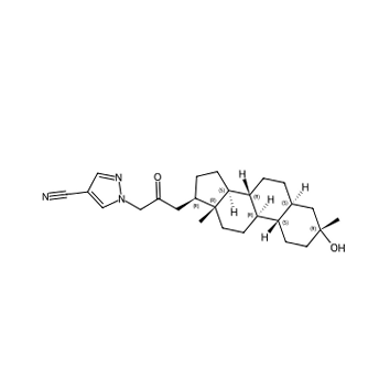 C[C@@]1(O)CC[C@H]2[C@@H](CC[C@@H]3[C@@H]2CC[C@]2(C)[C@@H](CC(=O)Cn4cc(C#N)cn4)CC[C@@H]32)C1